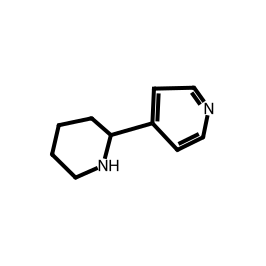 c1cc(C2CCCCN2)ccn1